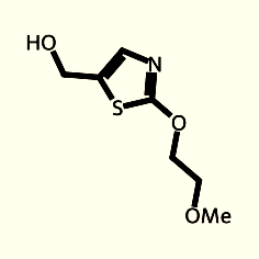 COCCOc1ncc(CO)s1